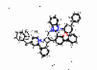 C[Si](C)(C)c1c[n+]2c(cc1CC1CCCCC1)-c1ccccc1C1C3=C(C[n+]4c(n(-c5cccc(-c6ccccc6)c5)c5ccccc54)-c4c3ccc3c4oc4ccccc43)C12